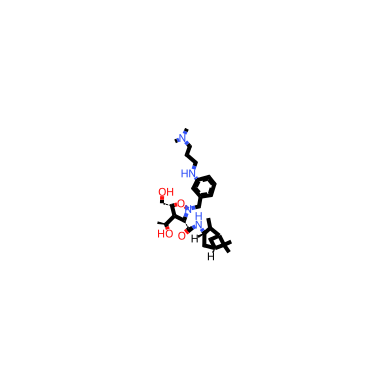 CC1C2C[C@H](C[C@@H]1NC(=O)[C@@H]1C([C@H](C)O)[C@H](CO)ON1Cc1cccc(NCCCN(C)C)c1)C2(C)C